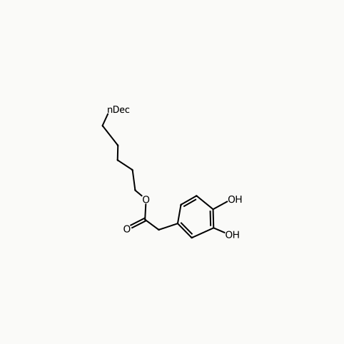 CCCCCCCCCCCCCCCOC(=O)Cc1ccc(O)c(O)c1